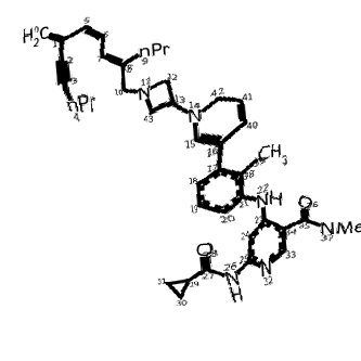 C=C(C#CCCC)/C=C\C=C(/CCC)CN1CC(N2C=C(c3cccc(Nc4cc(NC(=O)C5CC5)ncc4C(=O)NC)c3C)C=CC2)C1